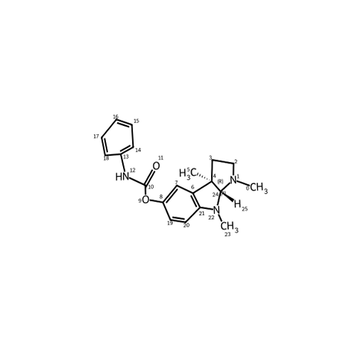 CN1CC[C@]2(C)c3cc(OC(=O)Nc4ccccc4)ccc3N(C)[C@@H]12